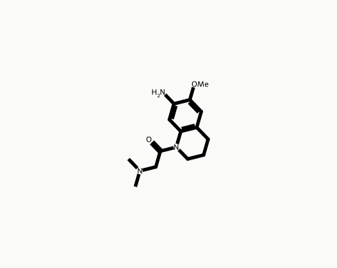 COc1cc2c(cc1N)N(C(=O)CN(C)C)CCC2